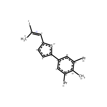 C/C(I)=C\c1ccc(-c2cc(C(C)C)c(C)c(C(C)C)c2)s1